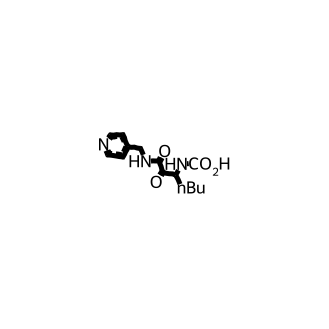 CCCCC(NC(=O)O)C(=O)C(=O)NCc1ccncc1